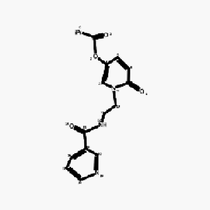 CC(C)C(=O)Oc1ccc(=O)n(CCNC(=O)c2cccnc2)c1